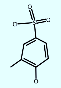 Cc1cc(S(=O)(=O)Cl)ccc1[O]